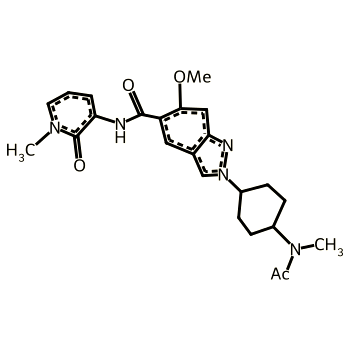 COc1cc2nn(C3CCC(N(C)C(C)=O)CC3)cc2cc1C(=O)Nc1cccn(C)c1=O